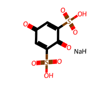 O=C1C=C(S(=O)(=O)O)C(=O)C(S(=O)(=O)O)=C1.[NaH]